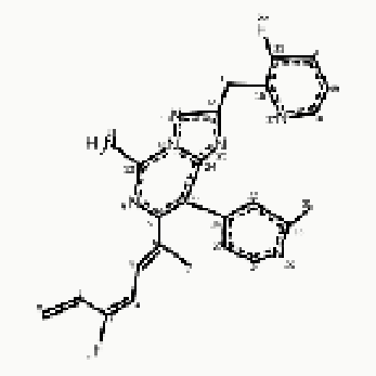 C=C/C(F)=C\C=C(/C)c1nc(N)n2nc(Cc3ncccc3F)nc2c1-c1ccnc(C)c1